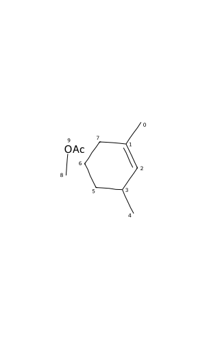 CC1=CC(C)CCC1.COC(C)=O